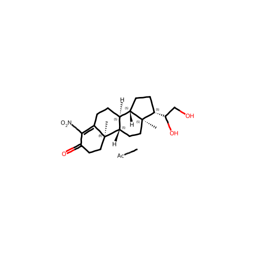 CC(C)=O.C[C@]12CC[C@H]3[C@@H](CCC4=C([N+](=O)[O-])C(=O)CC[C@@]43C)[C@@H]1CC[C@@H]2C(O)CO